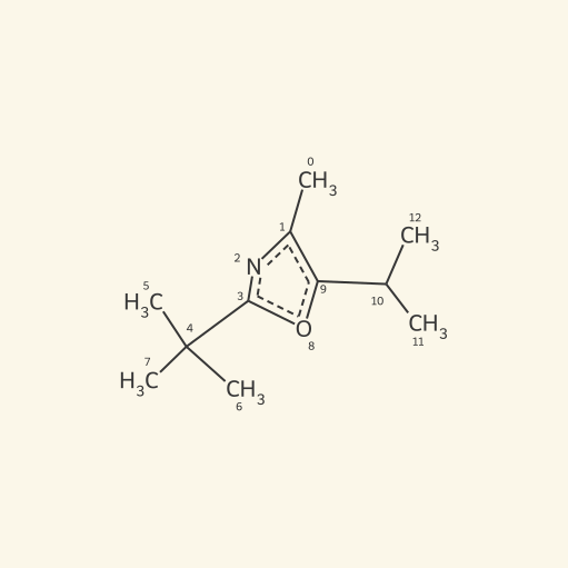 Cc1nc(C(C)(C)C)oc1C(C)C